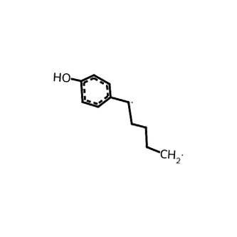 [CH2]CCC[CH]c1ccc(O)cc1